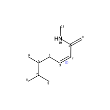 C=C(/C=C\CC(C)C(C)C)NC